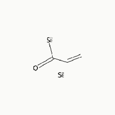 C=CC(=O)[Si].[Si]